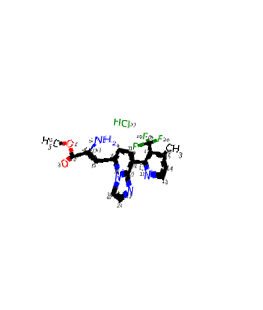 COC(=O)[C@@H](N)Cc1ccc(-c2nccc(C)c2C(F)(F)F)c2nccn12.Cl